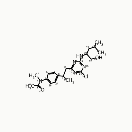 CC(=O)N(C)c1ccc(C(C)Cc2nc(Cl)nc(NC(CO)CC(C)C)n2)cc1